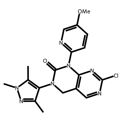 COc1ccc(N2C(=O)N(c3c(C)nn(C)c3C)Cc3cnc(Cl)nc32)nc1